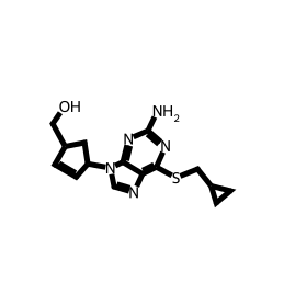 Nc1nc(SCC2CC2)c2ncn(C3C=CC(CO)C3)c2n1